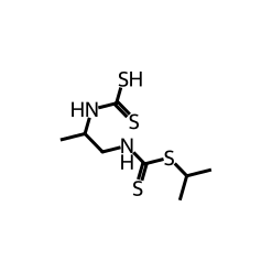 CC(CNC(=S)SC(C)C)NC(=S)S